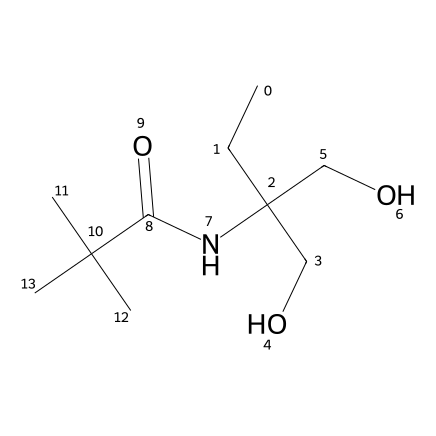 CCC(CO)(CO)NC(=O)C(C)(C)C